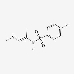 CN/C=C(\C)N(C)S(=O)(=O)c1ccc(C)cc1